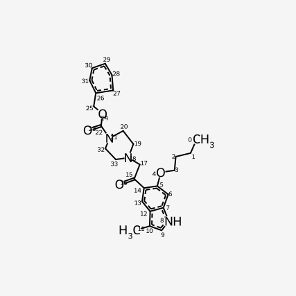 CCCCOc1cc2[nH]cc(C)c2cc1C(=O)CN1CCN(C(=O)OCc2ccccc2)CC1